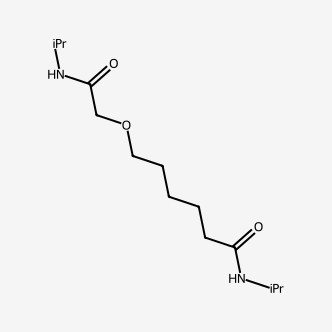 CC(C)NC(=O)CCCCCOCC(=O)NC(C)C